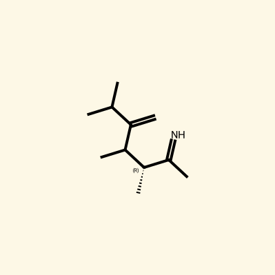 C=C(C(C)C)C(C)[C@@H](C)C(C)=N